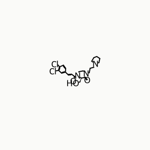 O=C1[C@@H](CO)N(C(=O)C=Cc2ccc(Cl)c(Cl)c2)CCN1CCCN1CCCCC1